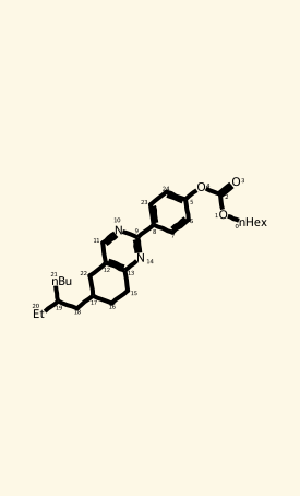 CCCCCCOC(=O)Oc1ccc(-c2ncc3c(n2)CCC(CC(CC)CCCC)C3)cc1